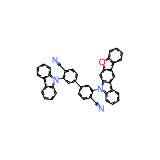 N#Cc1ccc(-c2ccc(C#N)c(-n3c4ccccc4c4cc5c(cc43)oc3ccccc35)c2)cc1-n1c2ccccc2c2ccccc21